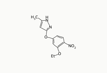 CCOc1cc(Oc2cc(C)[nH]n2)ccc1[N+](=O)[O-]